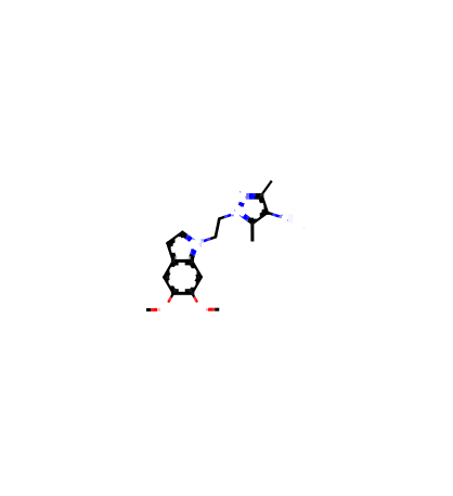 COc1cc2ccn(CCn3nc(C)c(N)c3C)c2cc1OC